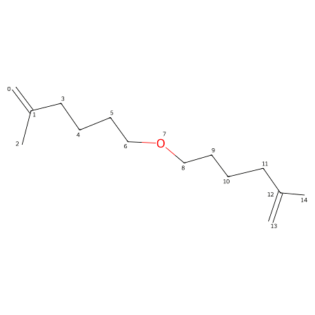 C=C(C)CCCCOCCCCC(=C)C